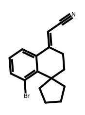 N#C/C=C1\CCC2(CCCC2)c2c(Br)cccc21